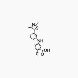 Cc1nc(C)c(-c2cccc(Nc3ccc(Cl)c(C(=O)O)c3)c2)s1